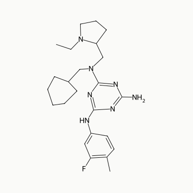 CCN1CCCC1CN(CC1CCCCC1)c1nc(N)nc(Nc2ccc(C)c(F)c2)n1